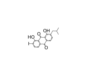 CC(C)Cc1ccc2c(c1O)C(=O)c1c(ccc(I)c1O)C2=O